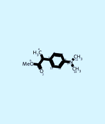 COC(=O)C(C)c1ccc(N(C)C)cc1